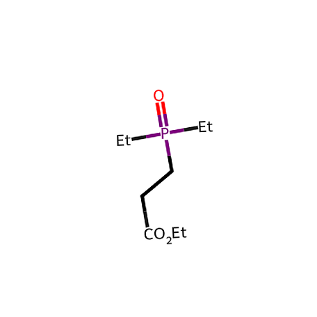 CCOC(=O)CCP(=O)(CC)CC